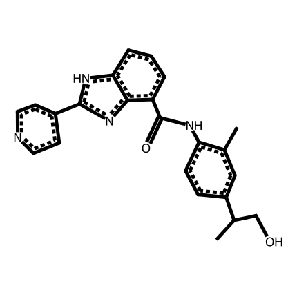 Cc1cc(C(C)CO)ccc1NC(=O)c1cccc2[nH]c(-c3ccncc3)nc12